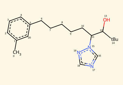 Cc1cccc(CCCCCC(C(O)C(C)(C)C)n2cncn2)c1